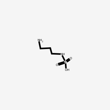 NCCCNS(=O)(=O)O